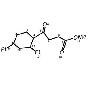 CCC1CCC(C(=O)CCC(=O)OC)C(CC)C1